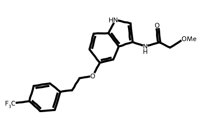 COCC(=O)Nc1c[nH]c2ccc(OCCc3ccc(C(F)(F)F)cc3)cc12